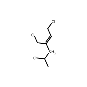 CC(Cl)[SiH2]C(=CCCl)CCl